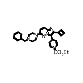 CCOC(=O)N1C=CC(c2c(C3=CC=C3)nc3ccc(N4CCN(Cc5ccccc5)CC4)nn23)C=C1